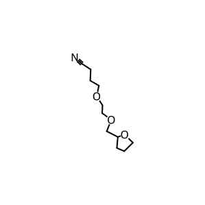 N#CCCCOCCOCC1CCCO1